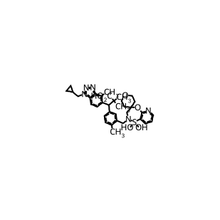 Cc1ccc(C(c2ccc3c(nnn3CC3CC3)c2C)C(C)(C)C(=O)O)cc1CN1CC2(CCOCC2)Oc2ncccc2S1(O)O